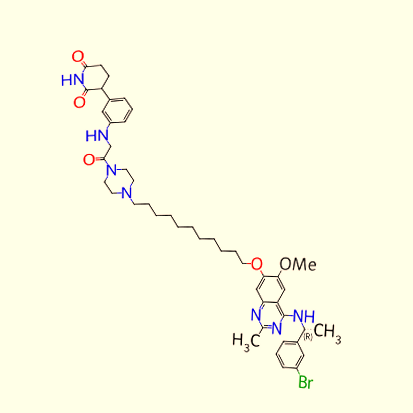 COc1cc2c(N[C@H](C)c3cccc(Br)c3)nc(C)nc2cc1OCCCCCCCCCCCN1CCN(C(=O)CNc2cccc(C3CCC(=O)NC3=O)c2)CC1